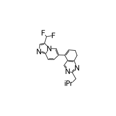 CC(C)Cc1ncc2c(n1)CCC=C2c1ccc2ncc(C(F)F)n2c1